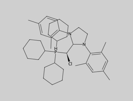 Cc1ccc(N2CCN(c3c(C)cc(C)cc3C)C2[C@@H](Cl)[PH](C2CCCCC2)(C2CCCCC2)C2CCCCC2)c(C)c1